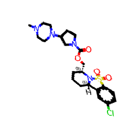 CN1CCN(C2CCN(C(=O)OC[C@H]3CCC[C@H]4c5cc(Cl)ccc5S(=O)(=O)N34)C2)CC1